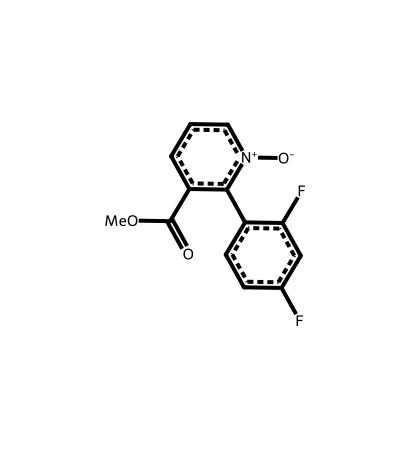 COC(=O)c1ccc[n+]([O-])c1-c1ccc(F)cc1F